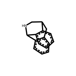 c1ccc2c(c1)CC1CNC2c2ccccc21